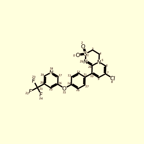 O=S1(=O)CCN2C=C(Cl)C=C(c3ccc(Oc4cncc(C(F)(F)F)c4)cc3)C2=N1